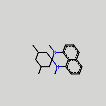 CC1CC(C)CC2(C1)N(C)c1cccc3cccc(c13)N2C